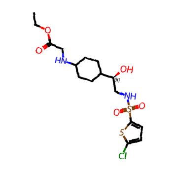 CCOC(=O)CNC1CCC([C@@H](O)CNS(=O)(=O)c2ccc(Cl)s2)CC1